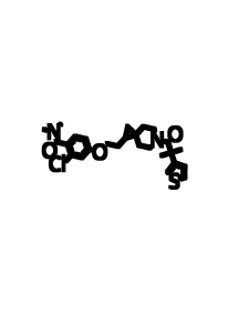 CN(C)C(=O)c1ccc(OCCC2CC23CCN(C(=O)C(C)(C)c2ccsc2)CC3)cc1Cl